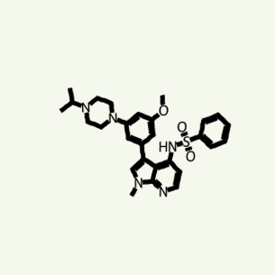 COc1cc(-c2cn(C)c3nccc(NS(=O)(=O)c4ccccc4)c23)cc(N2CCN(C(C)C)CC2)c1